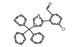 O=Cc1ccc(Cl)cc1-c1cn(C(c2ccccc2)(c2ccccc2)c2ccccc2)cn1